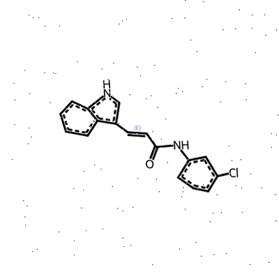 O=C(/C=C/c1c[nH]c2ccccc12)Nc1cccc(Cl)c1